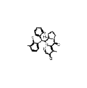 Cc1cccc([C@@H](c2ccccc2F)[C@H]2[C@H]3CCCN3C(=O)c3c(C)c(=O)cnn32)c1F